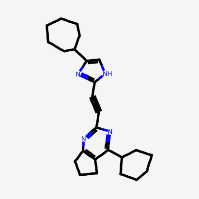 C(#Cc1nc(C2CCCCCC2)c[nH]1)c1nc2c(c(C3CCCCC3)n1)CCC2